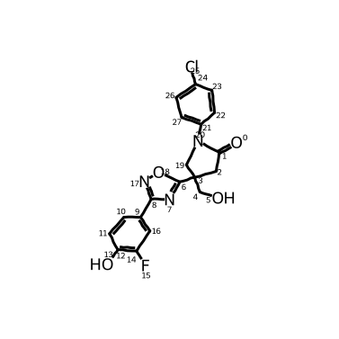 O=C1CC(CO)(c2nc(-c3ccc(O)c(F)c3)no2)CN1c1ccc(Cl)cc1